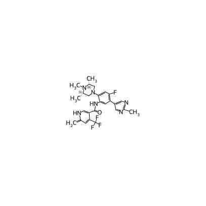 C=C1C=C(C(F)(F)F)C(C(=O)Nc2cc(-c3cnc(C)nc3)c(F)cc2N2C[C@@H](C)N(C)[C@@H](C)C2)=CN1